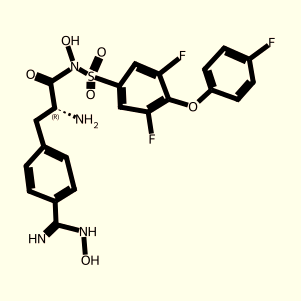 N=C(NO)c1ccc(C[C@@H](N)C(=O)N(O)S(=O)(=O)c2cc(F)c(Oc3ccc(F)cc3)c(F)c2)cc1